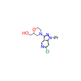 CC(C)n1nc(N2CCOC(CO)C2)c2cnc(Cl)cc21